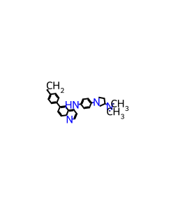 C=Cc1ccc(-c2ccc3nccc(Nc4ccc(N5CCC(N(C)C)C5)cc4)c3c2)cc1